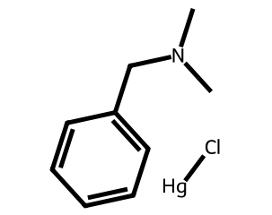 CN(C)Cc1ccccc1.[Cl][Hg]